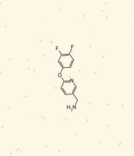 NCc1ccc(Oc2ccc(F)c(F)c2)nc1